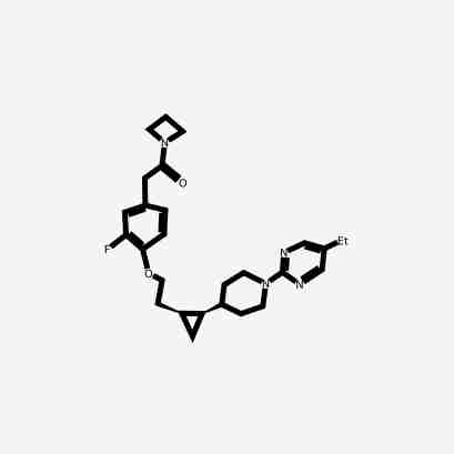 CCc1cnc(N2CCC([C@H]3C[C@H]3CCOc3ccc(CC(=O)N4CCC4)cc3F)CC2)nc1